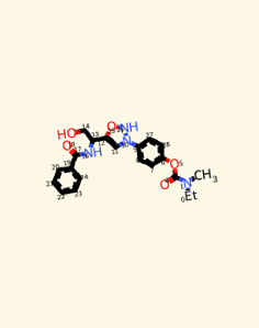 CCN(C)C(=O)Oc1ccc(N2C=C(C(CO)NC(=O)c3ccccc3)ON2)cc1